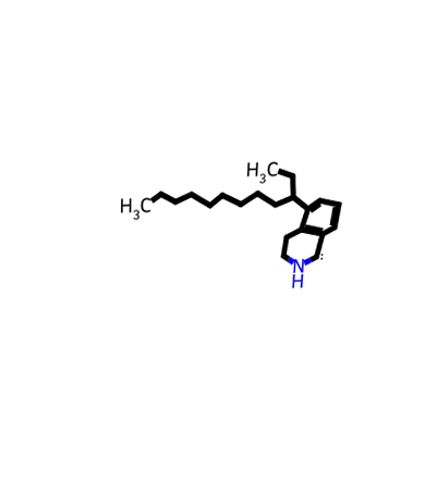 CCCCCCCCCC(CC)c1cccc2c1CCN[C]2